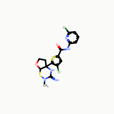 CN1SC2OCCC2(c2sc(C(=O)Nc3cccc(Cl)n3)cc2Cl)NC1=N